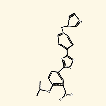 CC(C)Oc1ccc(-c2nc(-c3ccc(Cn4ccnc4)cc3)no2)cc1[N+](=O)[O-]